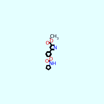 CCOC(=O)c1cncc(-c2cccc(OC(=O)NC3CCCC3)c2)c1